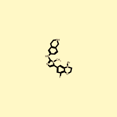 CC(C)N1CCOc2c(F)cc(-c3cnc(Nc4ccc5c(c4)CCNC5)n3C)cc21